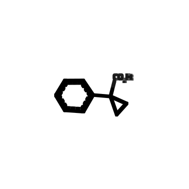 CCOC(=O)C1(c2ccccc2)CC1